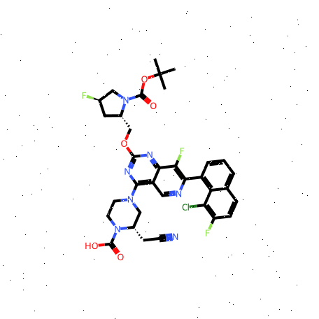 CC(C)(C)OC(=O)N1C[C@H](F)C[C@H]1COc1nc(N2CCN(C(=O)O)[C@@H](CC#N)C2)c2cnc(-c3cccc4ccc(F)c(Cl)c34)c(F)c2n1